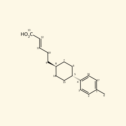 Cc1ccc([C@H]2CC[C@H](CC/C=C/C(=O)O)CC2)cc1